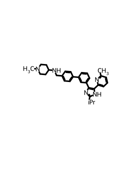 Cc1cccc(-c2[nH]c(C(C)C)nc2-c2cccc(-c3ccc(CNC4CCN(C)CC4)cc3)c2)n1